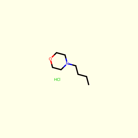 CCCCN1CCOCC1.Cl